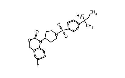 CCC(C)(C)c1ccc(S(=O)(=O)N2CCC(N3C(=O)OCc4cc(F)ccc43)CC2)cc1